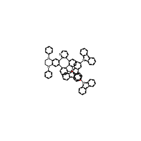 c1ccc(N2CCN(c3ccccc3)c3cc4c(cc32)-c2cccc(-n3c5ccccc5c5cc(-n6c7ccccc7c7ccccc76)ccc53)c2-c2c(cccc2-n2c3ccccc3c3cc(-n5c6ccccc6c6ccccc65)ccc32)-c2cccnc2-4)cc1